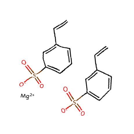 C=Cc1cccc(S(=O)(=O)[O-])c1.C=Cc1cccc(S(=O)(=O)[O-])c1.[Mg+2]